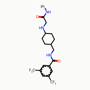 CC(C)NC(=O)CNC1CCC(CNC(=O)c2cc(C(F)(F)F)cc(C(F)(F)F)c2)CC1